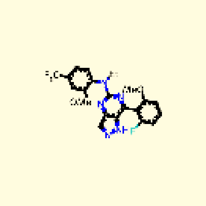 CCN(c1nc(-c2c(F)cccc2OC)c2[nH]ncc2n1)c1ccc(C(F)(F)F)cc1OC